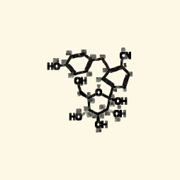 N#Cc1ccc([C@@]2(O)O[C@H](CO)[C@@H](O)[C@H](O)[C@H]2O)cc1Cc1ccc(O)cc1